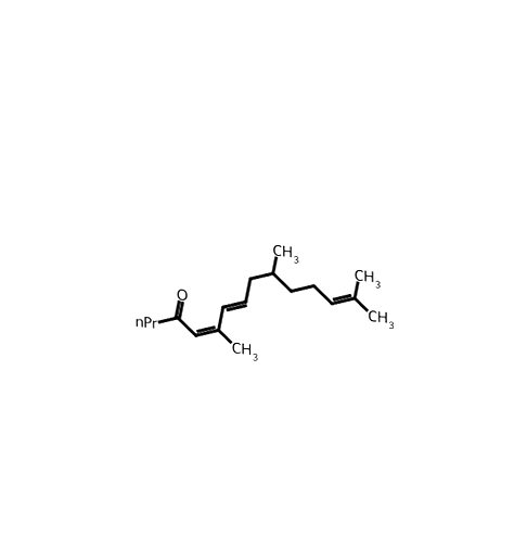 CCCC(=O)C=C(C)C=CCC(C)CCC=C(C)C